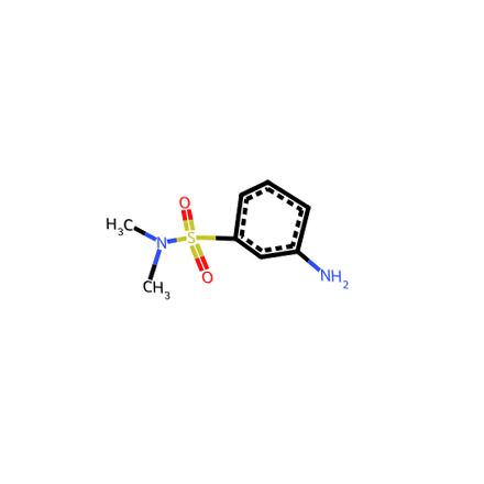 CN(C)S(=O)(=O)c1cccc(N)c1